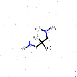 CCCNCC(C)(C)CN(C)C